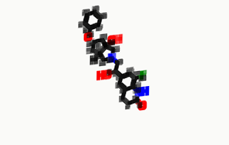 O=C1CCc2cc(C(O)CN3C[C@H]4C[C@H](Oc5ccccc5)C[C@@]4(O)C3)cc(F)c2N1